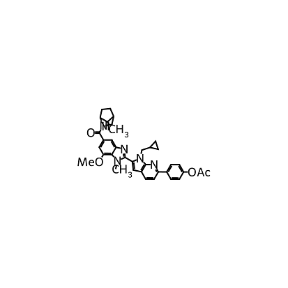 COc1cc(C(=O)N2CC3CCC2[C@@H]3C)cc2nc(-c3cc4ccc(-c5ccc(OC(C)=O)cc5)nc4n3CC3CC3)n(C)c12